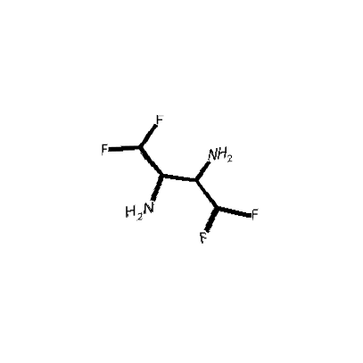 NC(C(F)F)C(N)C(F)F